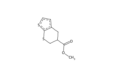 COC(=O)C1CSc2sccc2C1